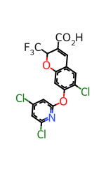 O=C(O)C1=Cc2cc(Cl)c(Oc3cc(Cl)cc(Cl)n3)cc2OC1C(F)(F)F